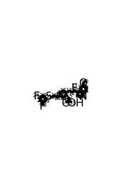 COc1ccc2nccc([C@@H](F)CC[C@@H]3CCN(CCCSc4cc(F)cc(F)c4)C[C@@H]3CC(=O)O)c2c1